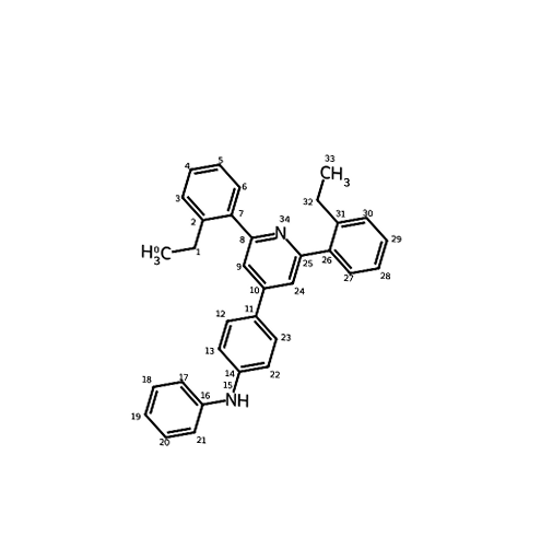 CCc1ccccc1-c1cc(-c2ccc(Nc3ccccc3)cc2)cc(-c2ccccc2CC)n1